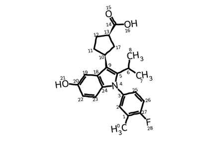 Cc1cc(-n2c(C(C)C)c([C@H]3CC[C@@H](C(=O)O)C3)c3cc(O)ccc32)ccc1F